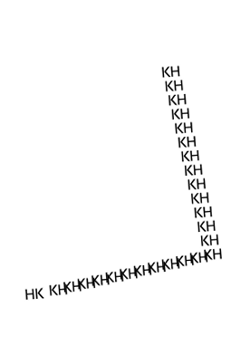 [KH].[KH].[KH].[KH].[KH].[KH].[KH].[KH].[KH].[KH].[KH].[KH].[KH].[KH].[KH].[KH].[KH].[KH].[KH].[KH].[KH].[KH].[KH].[KH].[KH].[KH]